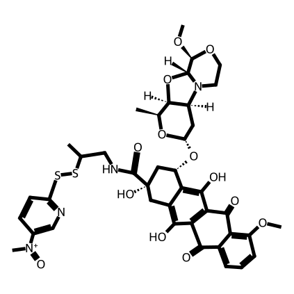 COc1cccc2c1C(=O)c1c(O)c3c(c(O)c1C2=O)C[C@@](O)(C(=O)NCC(C)SSc1ccc([N+](C)=O)cn1)C[C@@H]3O[C@H]1C[C@H]2[C@H](O[C@@H]3[C@@H](OC)OCCN32)[C@H](C)O1